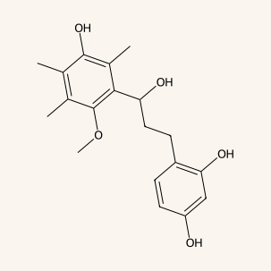 COc1c(C)c(C)c(O)c(C)c1C(O)CCc1ccc(O)cc1O